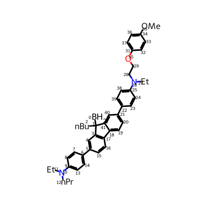 BC1(CCCC)c2cc(-c3ccc(N(CC)CCC)cc3)ccc2-c2ccc(-c3ccc(N(CC)CCOc4ccc(OC)cc4)cc3)cc21